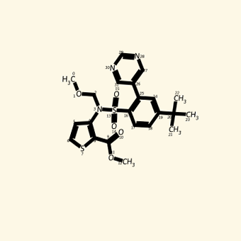 COCN(c1ccsc1C(=O)OC)S(=O)(=O)c1ccc(C(C)(C)C)cc1-c1cncnc1